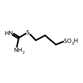 N=C(N)SCCCS(=O)(=O)O